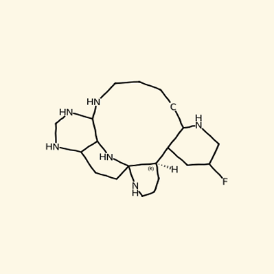 FC1CNC2CCCCNC3NCNC4CCC5(NCCC[C@@H]5C2C1)NC43